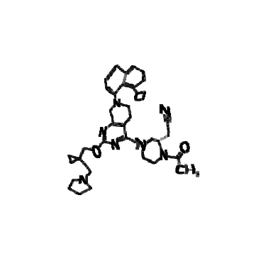 CC(=O)N1CCN(c2nc(OCC3(CN4CCCC4)CC3)nc3c2CCN(c2cccc4cccc(Cl)c24)C3)C[C@@H]1CC#N